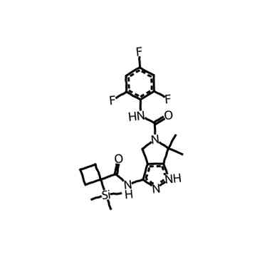 CC1(C)c2[nH]nc(NC(=O)C3([Si](C)(C)C)CCC3)c2CN1C(=O)Nc1c(F)cc(F)cc1F